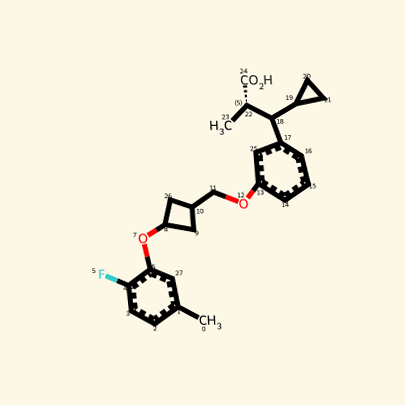 Cc1ccc(F)c(OC2CC(COc3cccc(C(C4CC4)[C@H](C)C(=O)O)c3)C2)c1